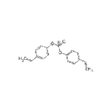 C=Cc1ccc(O[PH](=O)Oc2ccc(C=C)cc2)cc1